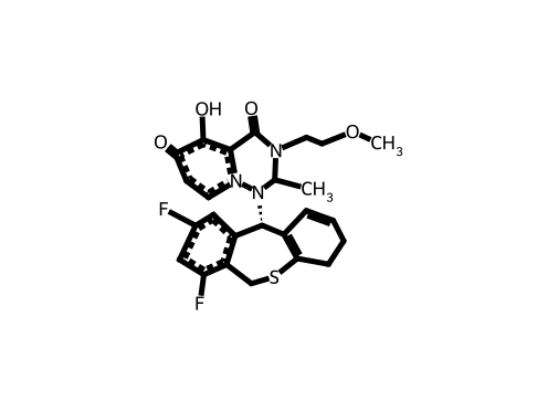 COCCN1C(=O)c2c(O)c(=O)ccn2N([C@@H]2C3=C(CCC=C3)SCc3c(F)cc(F)cc32)C1C